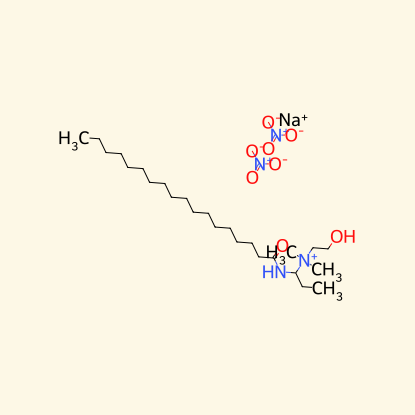 CCCCCCCCCCCCCCCCCC(=O)NC(CC)[N+](C)(C)CCO.O=[N+]([O-])[O-].O=[N+]([O-])[O-].[Na+]